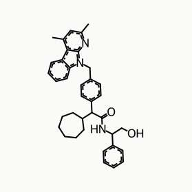 Cc1cc(C)c2c3ccccc3n(Cc3ccc(C(C(=O)NC(CO)c4ccccc4)C4CCCCCC4)cc3)c2n1